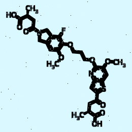 COc1cc2sc(C(=O)C[C@H](C)C(=O)O)cc2nc1OCCCOc1c(OC)cc2c(c1F)CN(C(=O)C[C@H](C)C(=O)O)C2